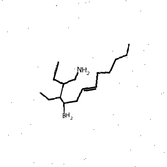 BC(C/C=C/CCCCC)C(CC)C(CC)CN